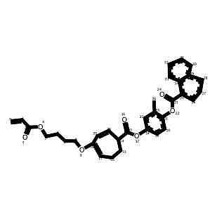 C=CC(=O)OCCCCOC1=CCCC(C(=O)Oc2ccc(OC(=O)c3cccc4ccccc34)c(C)c2)C=C1